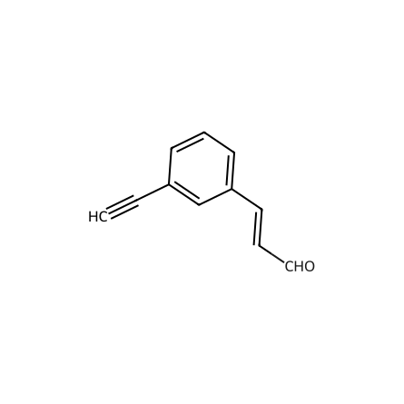 C#Cc1cccc(C=CC=O)c1